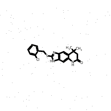 CC1(C)CC(=O)Nc2cc3[nH]c(SCc4ccccc4Cl)nc3cc21